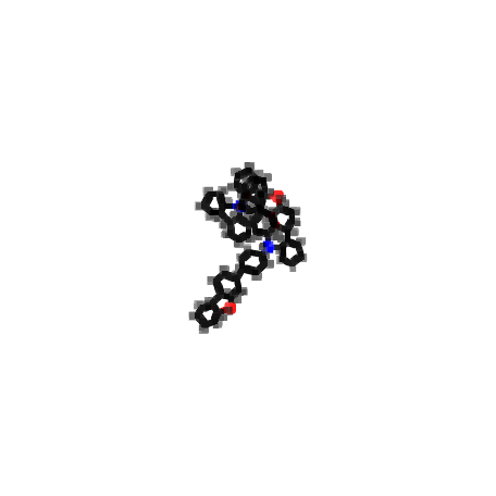 c1ccc(N(c2ccc(-c3ccc4c(c3)oc3ccccc34)cc2)c2ccc(-c3ccccc3-n3c4ccccc4c4ccccc43)cc2)c(-c2ccc3oc4c5ccccc5ccc4c3c2)c1